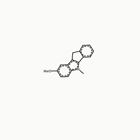 COc1ccc2c(c1)c1c(n2C)-c2ccccc2C1